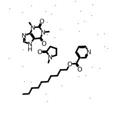 CCCCCCCCCCOC(=O)c1cccnc1.CN1CCCC1=O.Cn1c(=O)c2[nH]cnc2n(C)c1=O